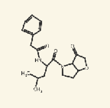 CC(C)CC(NC(=O)Cc1ccccc1)C(=O)N1CCC2OCC(=O)C21